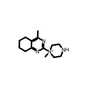 Cc1nc([N+]2(C)CCNCC2)nc2c1CCCC2